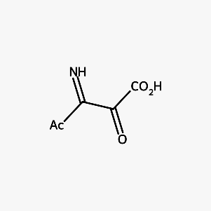 CC(=O)C(=N)C(=O)C(=O)O